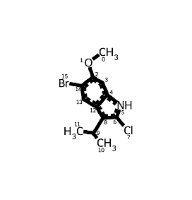 COc1cc2[nH]c(Cl)c(C(C)C)c2cc1Br